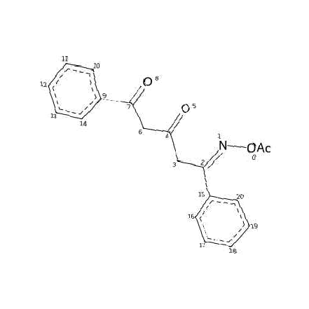 CC(=O)ON=C(CC(=O)CC(=O)c1ccccc1)c1ccccc1